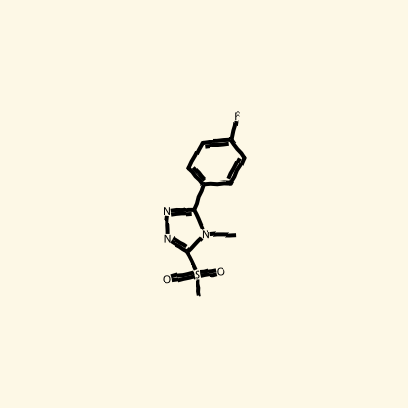 Cn1c(-c2ccc(F)cc2)nnc1S(C)(=O)=O